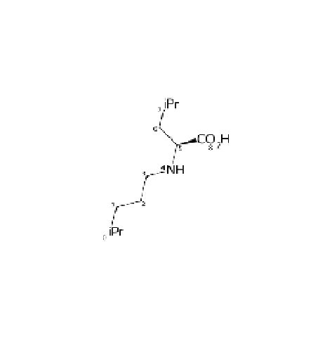 CC(C)CCCN[C@@H](CC(C)C)C(=O)O